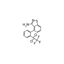 Nc1nsc2cccc(-c3ccccc3S(=O)(=O)C(F)(F)F)c12